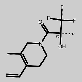 C=CC1=C(C)CN(C(=O)[C@](C)(O)C(F)(F)F)CC1